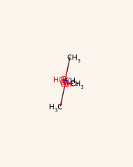 CCCCCCCCCCCCCCCCCCCCCCC(CC(=O)O)[C@@](CCCCCCCCCCCCCCCCCCCCCC)(C(=O)O)N(CC)C(=O)CCCCC